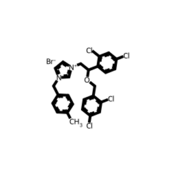 Cc1ccc(Cn2cc[n+](CC(OCc3ccc(Cl)cc3Cl)c3ccc(Cl)cc3Cl)c2)cc1.[Br-]